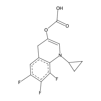 O=C(O)OC1=CN(C2CC2)c2c(cc(F)c(F)c2F)C1